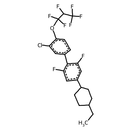 CCC1CCC(c2cc(F)c(-c3ccc(OC(F)(F)C(F)C(F)(F)F)c(Cl)c3)c(F)c2)CC1